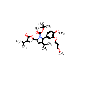 COCCCOc1cc(C2C(C(C)C)C[C@@H]([C@@H]3CC(C(C)C)C(=O)O3)N2C(=O)OC(C)(C)C)ccc1OC